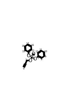 C#CCOP(=O)(Oc1ccccc1)Oc1ccccc1